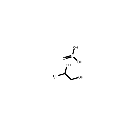 CC(O)CO.O=S(O)O